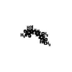 CNC(=O)c1ccc(N2CCN(Cc3cc4c(=O)n(C)c(=O)[nH]c4[nH]3)CC2)c(C)n1